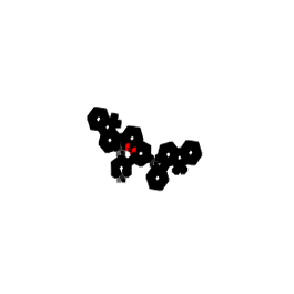 CC1(C)c2ccccc2-c2ccc3c(c21)c1ccccc1n3-c1ccc(C#N)c(-c2cnccc2-n2c3ccccc3c3c4c(ccc32)-c2ccccc2C4(C)C)c1